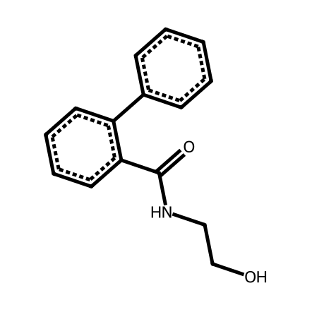 O=C(NCCO)c1ccccc1-c1ccccc1